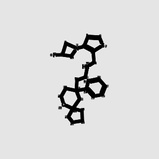 FC1CN(c2ccsc2CNCCC2(c3ccccn3)CCOC3(CCCC3)C2)C1